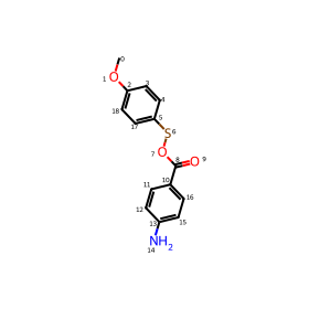 COc1ccc(SOC(=O)c2ccc(N)cc2)cc1